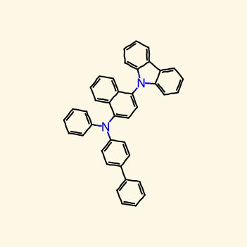 c1ccc(-c2ccc(N(c3ccccc3)c3ccc(-n4c5ccccc5c5ccccc54)c4ccccc34)cc2)cc1